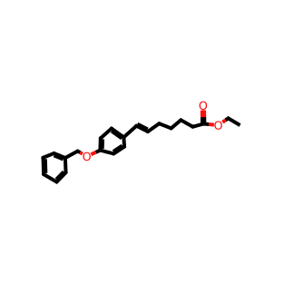 CCOC(=O)CCCC/C=C/c1ccc(OCc2ccccc2)cc1